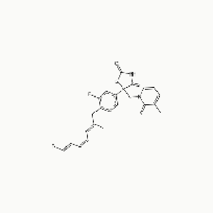 C=C1C(C)=CC=CN1CC1(c2ccc(C/C(C)=C/C=C\C=C\F)c(F)c2)SC(=O)NC1=C